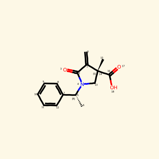 C=C1C(=O)N([C@H](C)c2ccccc2)C[C@@]1(C)C(=O)O